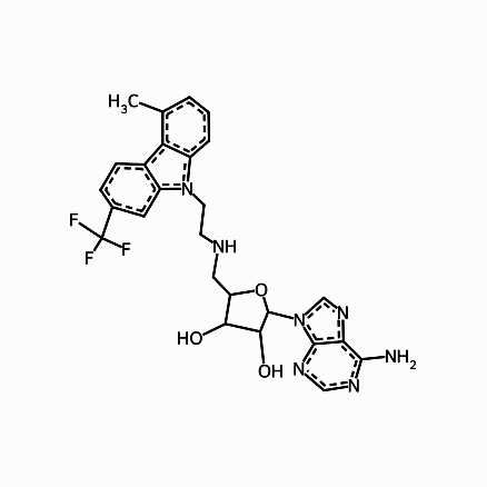 Cc1cccc2c1c1ccc(C(F)(F)F)cc1n2CCNCC1OC(n2cnc3c(N)ncnc32)C(O)C1O